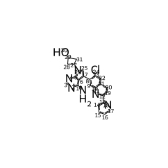 Nc1ncnc2c1c(-c1cc3nc(-c4ccccn4)ccc3cc1Cl)cn2C1CC(O)C1